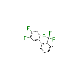 Fc1ccc(-c2ccc[c]c2C(F)(F)F)cc1F